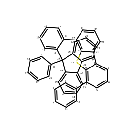 c1ccc(-c2cccc3c2sc2c(-c4ccccc4C4(c5ccccc5)c5ccccc5-c5ccccc54)cccc23)cc1